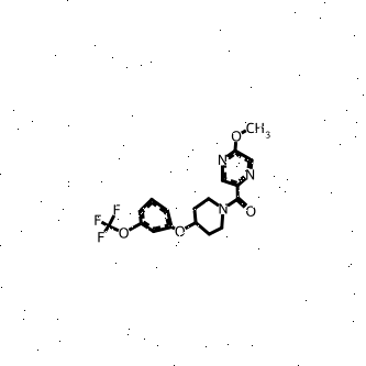 COc1cnc(C(=O)N2CCC(Oc3cccc(OC(F)(F)F)c3)CC2)cn1